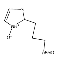 CCCCCCCCC1SC=C[NH+]1[O-]